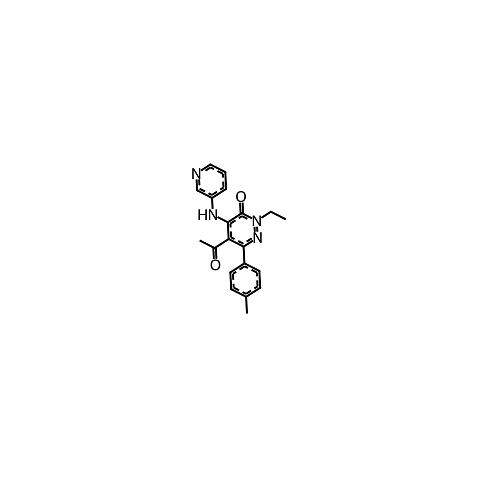 CCn1nc(-c2ccc(C)cc2)c(C(C)=O)c(Nc2cccnc2)c1=O